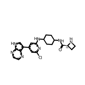 O=C(NC1CCC(Nc2cc(-c3c[nH]c4nccnc34)cc(Cl)n2)CC1)[C@@H]1CCN1